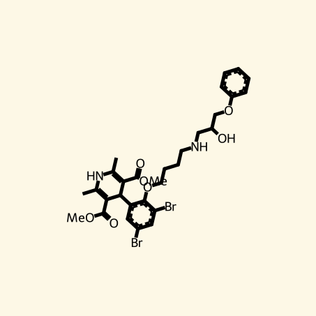 COC(=O)C1=C(C)NC(C)=C(C(=O)OC)C1c1cc(Br)cc(Br)c1OCCCCNCC(O)COc1ccccc1